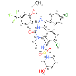 CCOc1cc(C(F)(F)F)ccc1C1=NC(c2ccc(Cl)cc2)C(c2ccc(Cl)cc2)N1C(=O)N1CCN(S(=O)(=O)N2CCCC(O)C2)CC1